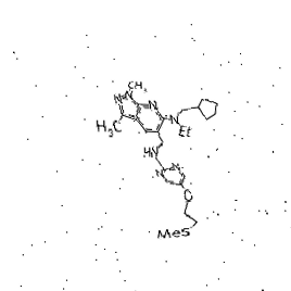 CCN(CC1CCCC1)c1nc2c(cc1CNc1ncc(OCCSC)cn1)c(C)nn2C